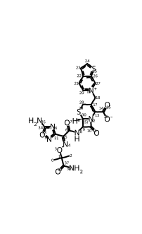 CC(C)(ON=C(C(=O)NC1C(=O)N2C(C(=O)[O-])=C(C[n+]3ccc4ccsc4c3)CS[C@@H]12)c1noc(N)n1)C(N)=O